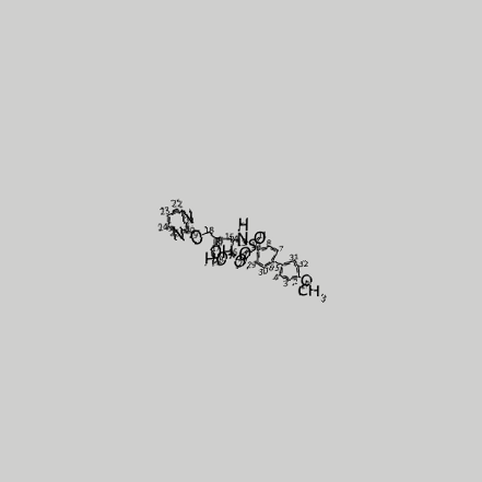 COc1ccc(-c2ccc(S(=O)(=O)NC(C[C@@H](O)COc3ncccn3)C(=O)O)cc2)cc1